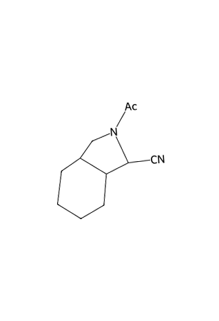 CC(=O)N1CC2CCCCC2C1C#N